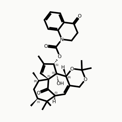 CC1=C[C@]23C(=O)[C@@H](C=C4COC(C)(C)O[C@H]4[C@]2(O)[C@H]1OC(=O)N1CCC(=O)c2ccccc21)C(C)(C)[C@@H](C)C[C@H]3C